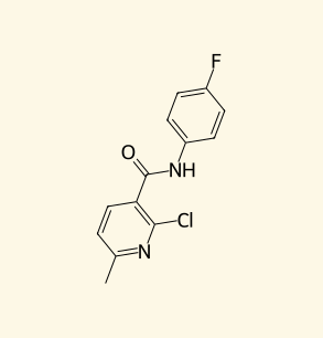 Cc1ccc(C(=O)Nc2ccc(F)cc2)c(Cl)n1